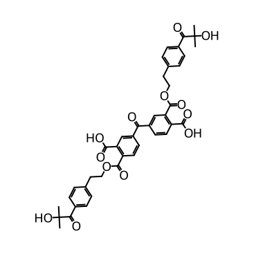 CC(C)(O)C(=O)c1ccc(CCOC(=O)c2ccc(C(=O)c3ccc(C(=O)O)c(C(=O)OCCc4ccc(C(=O)C(C)(C)O)cc4)c3)cc2C(=O)O)cc1